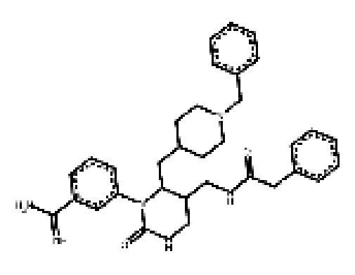 N=C(N)c1cccc(N2C(=O)NCC(CNC(=O)Cc3ccccc3)C2CC2CCN(Cc3ccccc3)CC2)c1